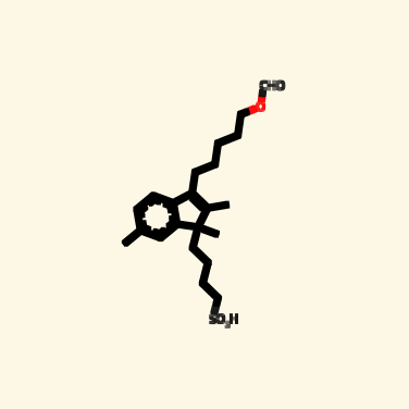 CC1=C(CCCCCOC=O)c2ccc(C)cc2C1(C)CCCCS(=O)(=O)O